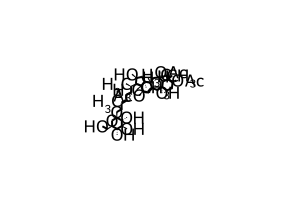 CC(=O)O[C@H]1C[C@@H]2C(=C[C@@H](OC(C)=O)[C@]3(C)[C@@H]([C@H](C)CC/C=C(\C)CO[C@@H]4O[C@H](CO)[C@@H](O)[C@H](O)[C@H]4O)[C@@H](O)C[C@@]23C)C[C@]2(O)CC[C@H](OC(C)=O)C(C)(C)[C@H]12